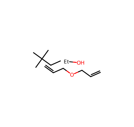 C=CCOCC=C.CCC(C)(C)C.CCO